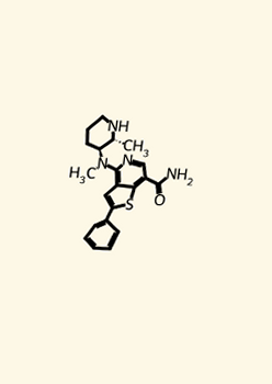 C[C@H]1NCCC[C@@H]1N(C)c1ncc(C(N)=O)c2sc(-c3ccccc3)cc12